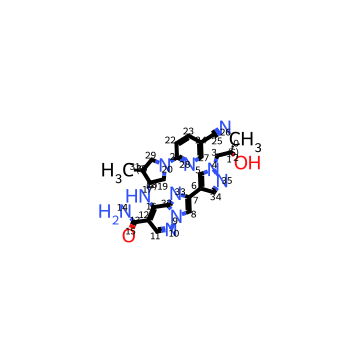 C[C@H](O)Cn1cc(-c2cn3ncc(C(N)=O)c(N[C@@H]4CN(c5ccc(C#N)cn5)C[C@@H]4C)c3n2)cn1